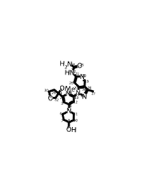 COC1(c2cc(N3CCC(O)CC3)cc(-n3nc(C)c4cnc(NC(N)=O)cc43)n2)CCOC1